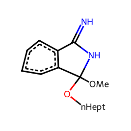 CCCCCCCOC1(OC)NC(=N)c2ccccc21